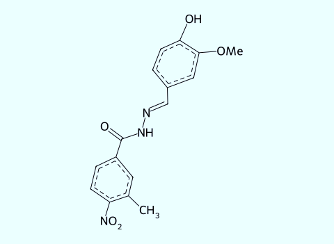 COc1cc(C=NNC(=O)c2ccc([N+](=O)[O-])c(C)c2)ccc1O